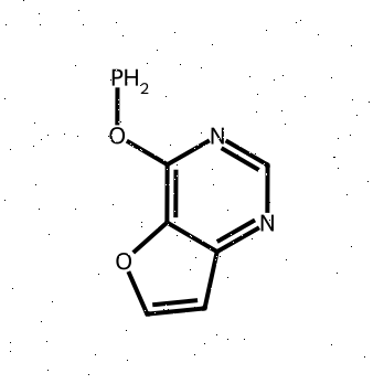 POc1ncnc2ccoc12